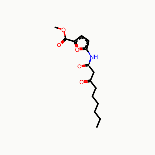 CCCCCCC(=O)CC(=O)Nc1ccc(C(=O)OC)o1